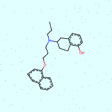 CCCN(CCCOc1cccc2ccccc12)C1CCc2c(O)cccc2C1